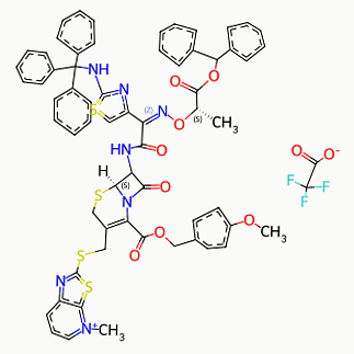 COc1ccc(COC(=O)C2=C(CSc3nc4ccc[n+](C)c4s3)CS[C@H]3C(NC(=O)/C(=N\O[C@@H](C)C(=O)OC(c4ccccc4)c4ccccc4)c4csc(NC(c5ccccc5)(c5ccccc5)c5ccccc5)n4)C(=O)N23)cc1.O=C([O-])C(F)(F)F